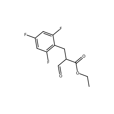 CCOC(=O)C(C=O)Cc1c(F)cc(F)cc1F